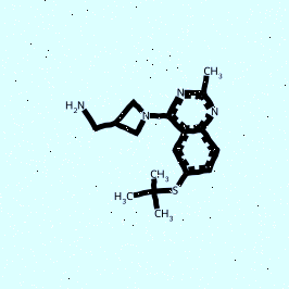 Cc1nc(N2CC(CN)C2)c2cc(SC(C)(C)C)ccc2n1